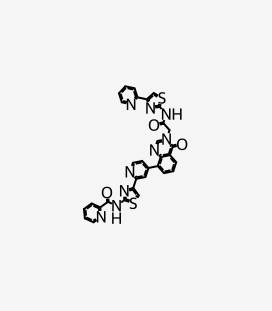 O=C(Cn1cnc2c(-c3ccnc(-c4csc(NC(=O)c5ccccn5)n4)c3)cccc2c1=O)Nc1nc(-c2ccccn2)cs1